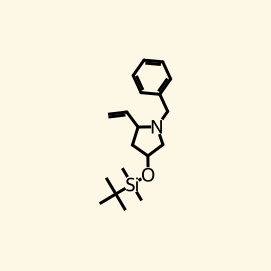 C=CC1CC(O[Si](C)(C)C(C)(C)C)CN1Cc1ccccc1